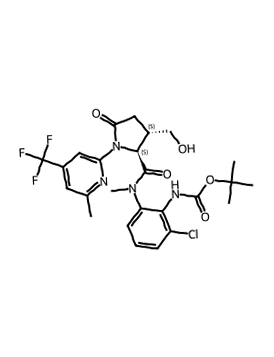 Cc1cc(C(F)(F)F)cc(N2C(=O)C[C@H](CO)[C@H]2C(=O)N(C)c2cccc(Cl)c2NC(=O)OC(C)(C)C)n1